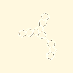 c1ccc2c(c1)Cc1ccc(-c3cc4c5cc6ccccc6cc5n5c6cc7ccccc7cc6c(c3)c45)cc1-2